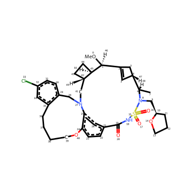 CO[C@H]1C2=C[C@H](C2)[C@H](C)N(C[C@H]2CCCO2)S(=O)(=O)NC(=O)c2ccc3c(c2)N(Cc2ccc(Cl)cc2CCCCO3)C[C@@H]2CC[C@H]21